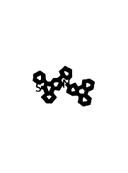 c1ccc2c(c1)sc1c3ccccc3c3cc4c(cc3c21)c1ccccc1n4-c1ccc2c3ccccc3c3ccccc3c2c1